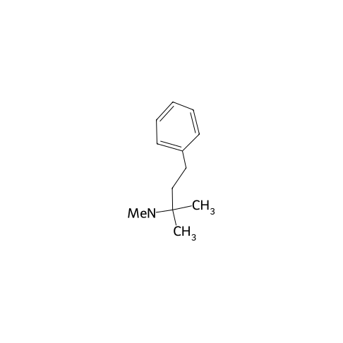 CNC(C)(C)CCc1ccccc1